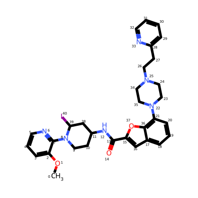 COc1cccnc1N1CCC(NC(=O)c2cc3cccc(N4CCN(CCc5ccccn5)CC4)c3o2)CC1I